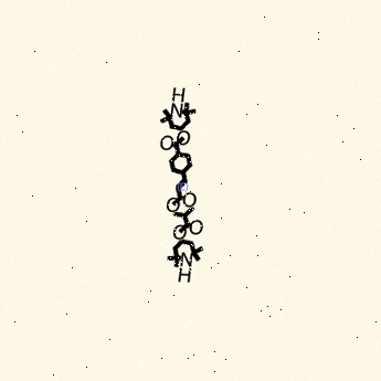 CC1(C)CC(OC(=O)C2CCC(/C=C/C3OCC(C(=O)OC4CC(C)(C)NC(C)(C)C4)CO3)CC2)CC(C)(C)N1